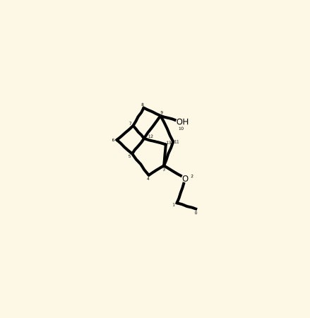 CCOC12CC3CC4CC(O)(C1)C34C2